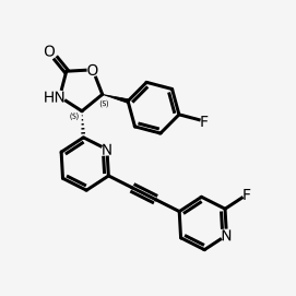 O=C1N[C@@H](c2cccc(C#Cc3ccnc(F)c3)n2)[C@H](c2ccc(F)cc2)O1